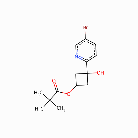 CC(C)(C)C(=O)OC1CC(O)(c2ccc(Br)cn2)C1